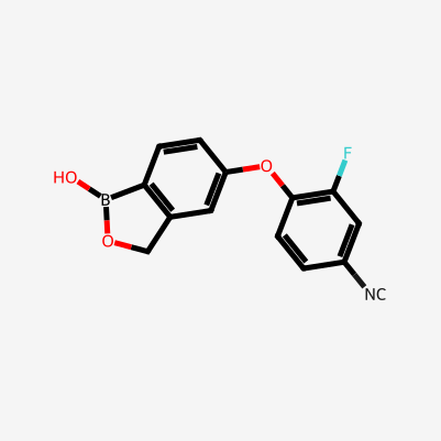 [C-]#[N+]c1ccc(Oc2ccc3c(c2)COB3O)c(F)c1